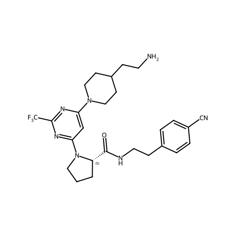 N#Cc1ccc(CCNC(=O)[C@@H]2CCCN2c2cc(N3CCC(CCN)CC3)nc(C(F)(F)F)n2)cc1